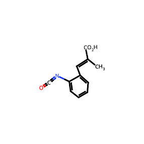 CC(=Cc1ccccc1N=C=O)C(=O)O